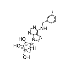 Cc1cccc(CNc2ncnc3c2ncn3[C@H]2[C@H](O)[C@H](O)[C@]3(CO)C[C@H]23)c1